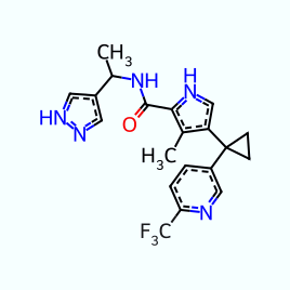 Cc1c(C2(c3ccc(C(F)(F)F)nc3)CC2)c[nH]c1C(=O)NC(C)c1cn[nH]c1